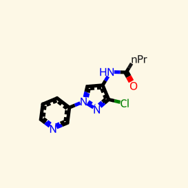 CCCC(=O)Nc1cn(-c2cccnc2)nc1Cl